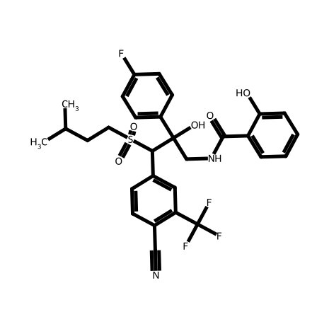 CC(C)CCS(=O)(=O)C(c1ccc(C#N)c(C(F)(F)F)c1)C(O)(CNC(=O)c1ccccc1O)c1ccc(F)cc1